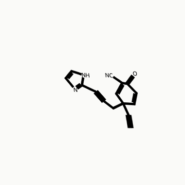 C#CC1(CC#Cc2ncc[nH]2)C=CC(=O)C(C#N)=C1